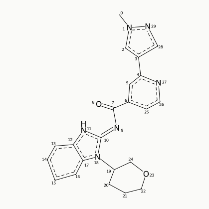 Cn1cc(-c2cc(C(=O)/N=c3\[nH]c4ccccc4n3C3CCCOC3)ccn2)cn1